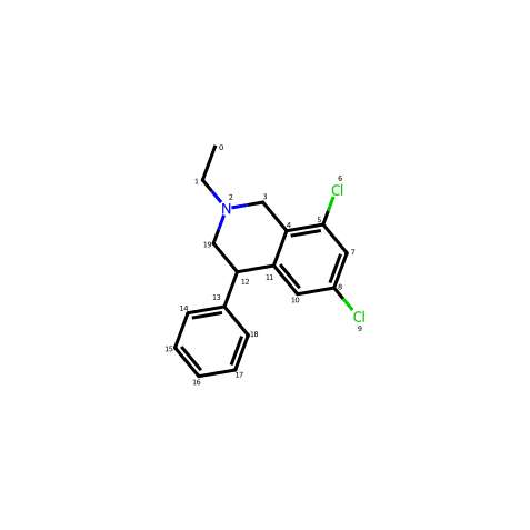 CCN1Cc2c(Cl)cc(Cl)cc2C(c2ccccc2)C1